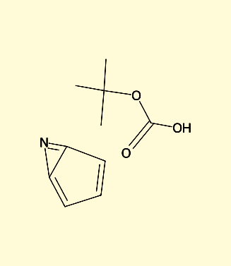 CC(C)(C)OC(=O)O.c1cc2nc-2c1